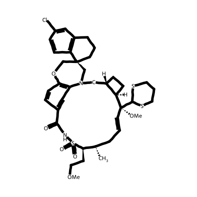 COCC[C@@H]1[C@@H](C)C/C=C/[C@](OC)(C2SCCCS2)[C@@H]2CC[C@H]2CN2C[C@@]3(CCCc4cc(Cl)ccc43)COc3ccc(cc32)C(=O)NS1(=O)=O